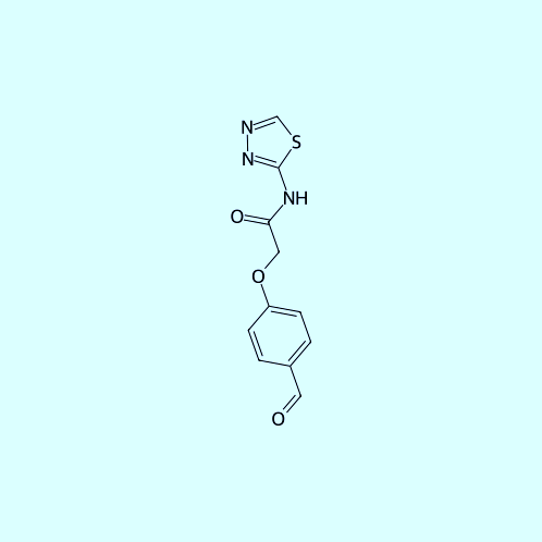 O=Cc1ccc(OCC(=O)Nc2nncs2)cc1